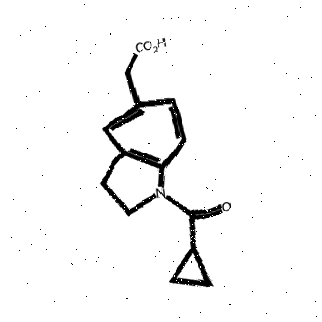 O=C(O)Cc1ccc2c(c1)CCN2C(=O)C1CC1